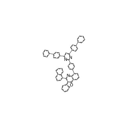 c1ccc(-c2ccc(-c3cc(-c4ccc(-c5ccccc5)cc4)nc(-c4ccc(-c5cccc6c5nc(-c5cccc7ccccc57)c5c7ccccc7oc65)cc4)n3)cc2)cc1